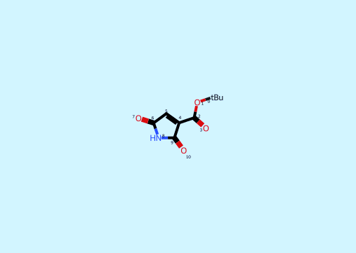 CC(C)(C)OC(=O)C1=CC(=O)NC1=O